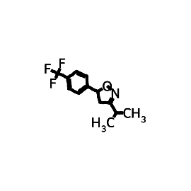 CC(C)C1=NOC(c2ccc(C(F)(F)F)cc2)C1